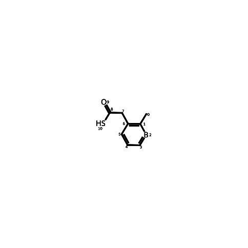 Cc1bcccc1CC(=O)S